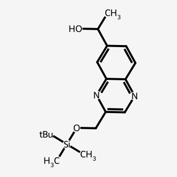 CC(O)c1ccc2ncc(CO[Si](C)(C)C(C)(C)C)nc2c1